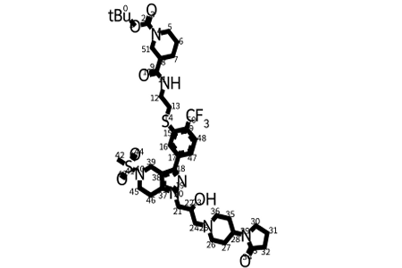 CC(C)(C)OC(=O)N1CCCC(C(=O)NCCSc2cc(-c3nn(CC(O)CN4CCC(N5CCCC5=O)CC4)c4c3CN(S(C)(=O)=O)CC4)ccc2C(F)(F)F)C1